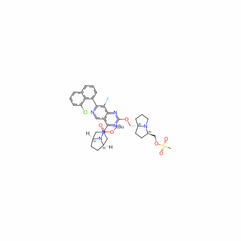 CC(C)(C)OC(=O)N1[C@@H]2CC[C@H]1CN(c1nc(OC[C@]34CCCN3[C@@H](COS(C)(=O)=O)CC4)nc3c(F)c(-c4cccc5cccc(Cl)c45)ncc13)C2